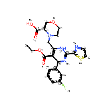 CCOC(=O)C1=C(CN2CCOC[C@H]2C(=O)O)NC(c2nccs2)=NC1c1cccc(F)c1